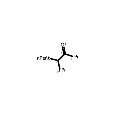 CCCCCC(CCC)C(=O)C(C)C